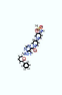 Cc1c(NC[C@H]2CCC[C@@H](c3ccccc3)O2)ncnc1C(=O)N1CCC(N2CCC(N(C)S(C)(=O)=O)CC2)CC1